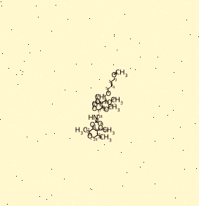 COC/C=C/COC[C@@H](OC)[C@@H](OC)[C@H](OC)[C@H](CNC(=O)O[C@H]1[C@H](OC)[C@@H](C)CO[C@@H]1C)OC